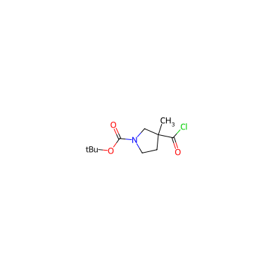 CC(C)(C)OC(=O)N1CCC(C)(C(=O)Cl)C1